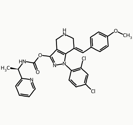 COc1ccc(/C=C2\CNCc3c(OC(=O)N[C@H](C)c4ccccn4)nn(-c4ccc(Cl)cc4Cl)c32)cc1